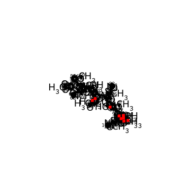 COc1cc(CC(C)(C(=O)O)c2nn(C[C@@H](OC3CCN(C(C)=O)CC3)c3ccc(CC(C)(C(=O)O)c4nn(C[C@@H](OC5CCN(S(C)(=O)=O)CC5)c5ccccc5OC)c5sc(-c6ncco6)c(C)c5c4=O)cc3OC)c3sc(-c4ncco4)c(C)c3c2=O)ccc1[C@H](Cn1nc(C(C)(C)C(=O)O)c(=O)c2c(C)c(-c3ncco3)sc21)OC1CCN(C(C)=O)CC1